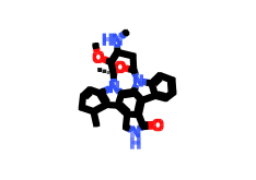 CNC1CC2O[C@](C)(C1OC)n1c3c(c4c5c(c6c7ccccc7n2c6c41)C(=O)NC5)C(C)CC=C3